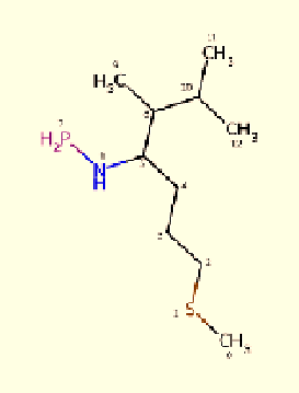 CSCCCC(NP)C(C)C(C)C